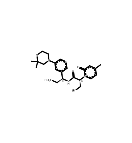 Cc1ccn([C@@H](CC(C)C)C(=O)N[C@@H](CC(=O)O)c2cncc(N3CCOC(C)(C)C3)c2)c(=O)c1